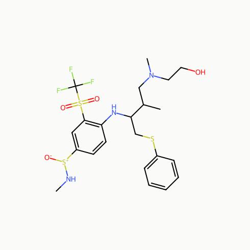 CN[S+]([O-])c1ccc(NC(CSc2ccccc2)C(C)CN(C)CCO)c(S(=O)(=O)C(F)(F)F)c1